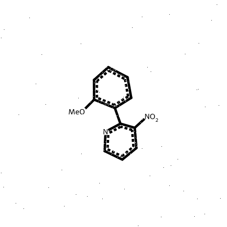 COc1ccccc1-c1ncccc1[N+](=O)[O-]